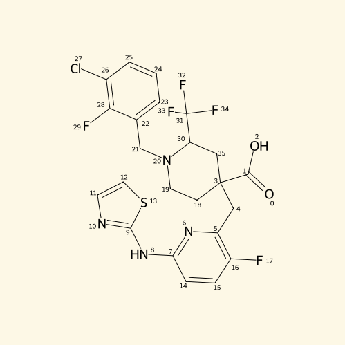 O=C(O)C1(Cc2nc(Nc3nccs3)ccc2F)CCN(Cc2cccc(Cl)c2F)C(C(F)(F)F)C1